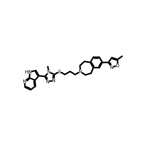 Cc1cc(-c2ccc3c(c2)CCN(CCCSc2nnc(-c4c[nH]c5ncccc45)n2C)CC3)no1